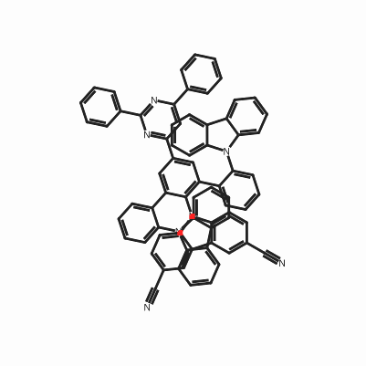 N#Cc1ccc2c(c1)c1cc(C#N)ccc1n2-c1c(-c2ccccc2-n2c3ccccc3c3ccccc32)cc(-c2cc(-c3ccccc3)nc(-c3ccccc3)n2)cc1-c1ccccc1-n1c2ccccc2c2ccccc21